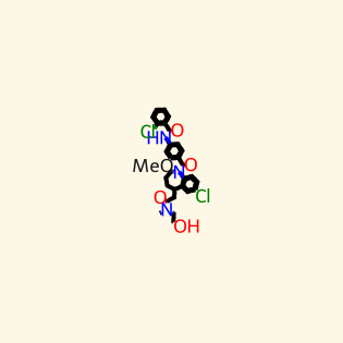 COc1cc(NC(=O)c2ccccc2Cl)ccc1C(=O)N1CCCC(CC(=O)N(C)CCO)c2cc(Cl)ccc21